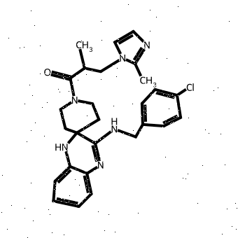 Cc1nccn1CC(C)C(=O)N1CCC2(CC1)Nc1ccccc1N=C2NCc1ccc(Cl)cc1